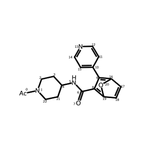 CC(=O)N1CCC(NC(=O)c2c(-c3ccncc3)c3ccc2o3)CC1